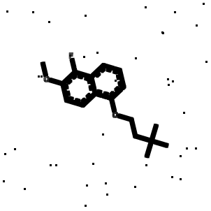 COc1ccc2c(OCCC(C)(C)C)cccc2c1F